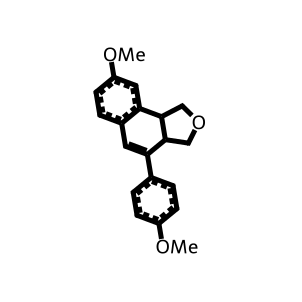 COc1ccc(C2=Cc3ccc(OC)cc3C3COCC23)cc1